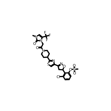 Cn1cc(C(F)(F)F)n(CC(=O)N2CCC(c3nc(C4=NOC(c5c(Cl)cccc5OS(C)(=O)=O)C4)cs3)CC2)c1=O